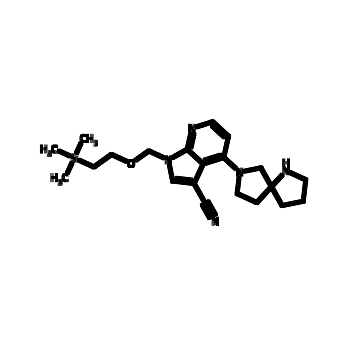 C[Si](C)(C)CCOCn1cc(C#N)c2c(N3CCC4(CCCN4)C3)ccnc21